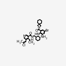 C=Cc1c(/C=C(\C)Cl)cncc1C(=O)NCC1CCCC[C@H]1Nc1c(N)cc(Br)cc1C(=O)N1CC2(CCCCC2)C1